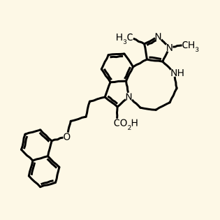 Cc1nn(C)c2c1-c1cccc3c(CCCOc4cccc5ccccc45)c(C(=O)O)n(c13)CCCCN2